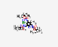 Cc1c(CNC(=O)OC(C)(C)C)c(C)c(CNC(=O)OC(C)(C)C)c(Br)c1CNC(=O)OC(C)(C)C